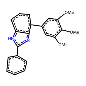 COc1cc(-c2cccc3[nH]c(-c4ccccc4)nc23)cc(OC)c1OC